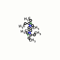 Cc1cccc(-c2cc(-c3cccc(C)c3)cc(N(c3cc(C)ccc3F)c3ccc4ccc5c(N(c6cc(-c7cccc(C)c7)cc(-c7cccc(C)c7)c6)c6cc(C)ccc6F)ccc6ccc3c4c65)c2)c1